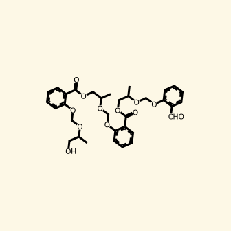 CC(CO)OCOc1ccccc1C(=O)OCC(C)OCOc1ccccc1C(=O)OCC(C)OCOc1ccccc1C=O